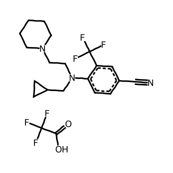 N#Cc1ccc(N(CCN2CCCCC2)CC2CC2)c(C(F)(F)F)c1.O=C(O)C(F)(F)F